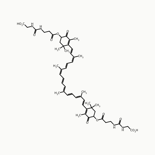 CC(C=CC=C(C)C=CC1=C(C)C(=O)C(OC(=O)CCNC(=O)NCC(=O)O)CC1(C)C)=CC=CC=C(C)C=CC=C(C)C=CC1=C(C)C(=O)C(OC(=O)CCNC(=O)NCC(=O)O)CC1(C)C